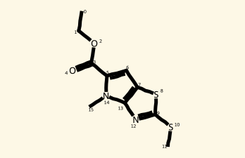 CCOC(=O)c1cc2sc(SC)nc2n1C